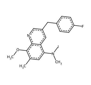 COc1c(C)cc(N(C)I)c2cc(Cc3ccc(F)cc3)cnc12